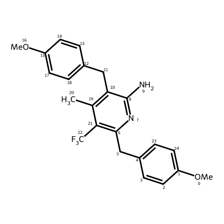 COc1ccc(Cc2nc(N)c(Cc3ccc(OC)cc3)c(C)c2C(F)(F)F)cc1